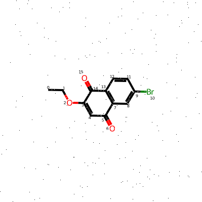 CCOC1=CC(=O)c2cc(Br)ccc2C1=O